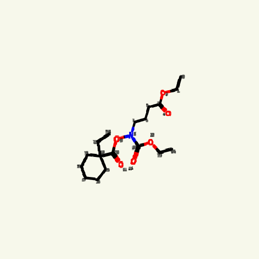 CCOC(=O)CCCN(OC(=O)C1(CC)CCCCC1)C(=O)OCC